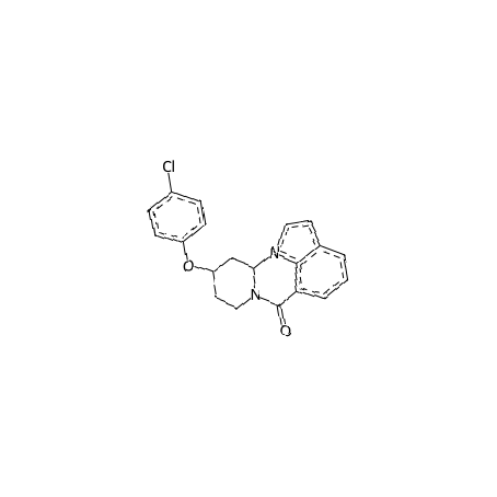 O=C1c2cccc3ccn(c23)C2CC(Oc3ccc(Cl)cc3)CCN12